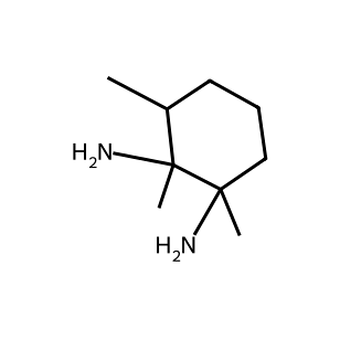 CC1CCCC(C)(N)C1(C)N